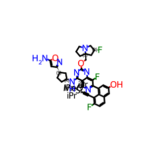 COc1nc(-c2cc(O)cc3ccc(F)c(C#C[Si](C(C)C)(C(C)C)C(C)C)c23)c(F)c2nc(OC[C@@]34CCCN3C[C@H](F)C4)nc(N[C@@H]3CC[C@H](c4cc(N)on4)C3)c12